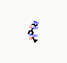 Cc1c(NC(=O)c2ccnc(NC(=O)C3CC3)c2)cnn1C